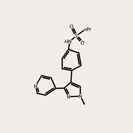 CCCS(=O)(=O)Nc1ccc(-c2cn(C)nc2-c2ccncc2)cc1